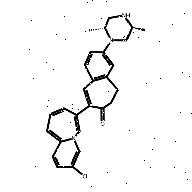 C[C@@H]1CN[C@@H](C)CN1c1ccc2c(c1)CCC(=O)C(C1=CN3C=C(Cl)C=CC3=CC=C1)=C2